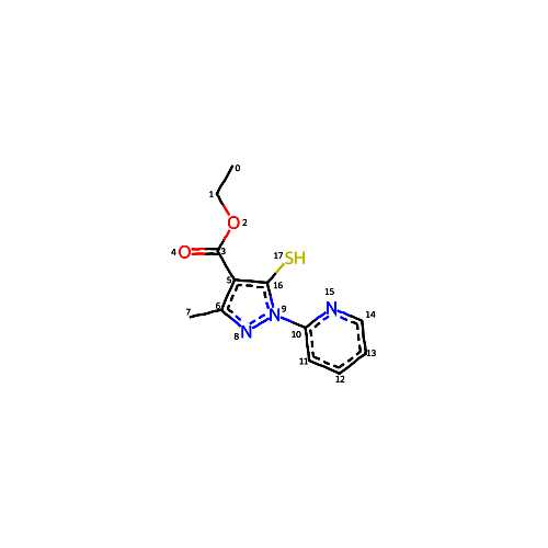 CCOC(=O)c1c(C)nn(-c2ccccn2)c1S